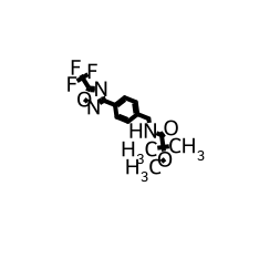 COC(C)(C)C(=O)NCc1ccc(-c2noc(C(F)(F)F)n2)cc1